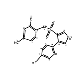 N#Cc1ccc(NS(=O)(=O)c2c[nH]cc2-c2ccc(F)cc2)c(F)c1